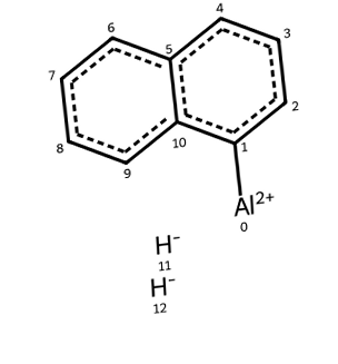 [Al+2][c]1cccc2ccccc12.[H-].[H-]